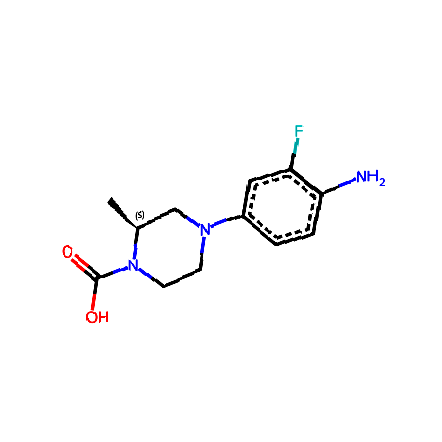 C[C@H]1CN(c2ccc(N)c(F)c2)CCN1C(=O)O